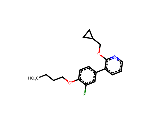 O=C(O)CCCOc1ccc(-c2cccnc2OCC2CC2)cc1F